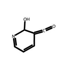 O=C=C1C=CC=NC1O